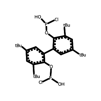 CC(C)(C)c1cc(-c2cc(C(C)(C)C)cc(C(C)(C)C)c2OP(O)Cl)c(OP(O)Cl)c(C(C)(C)C)c1